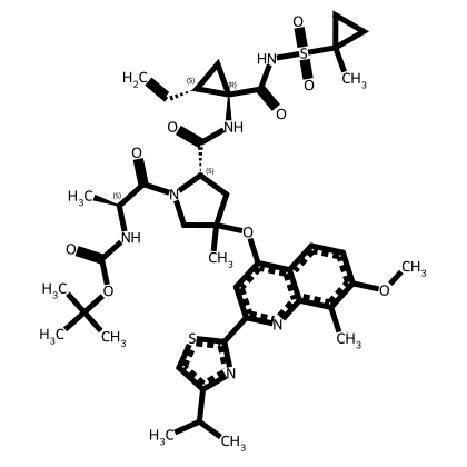 C=C[C@@H]1C[C@]1(NC(=O)[C@@H]1CC(C)(Oc2cc(-c3nc(C(C)C)cs3)nc3c(C)c(OC)ccc23)CN1C(=O)[C@H](C)NC(=O)OC(C)(C)C)C(=O)NS(=O)(=O)C1(C)CC1